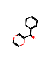 O=C(C1=CC=CCC1)C1=COC=CO1